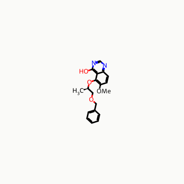 COc1ccc2ncnc(O)c2c1O[C@H](C)COCc1ccccc1